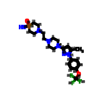 Cc1cc(N2CCN(CCN3CCS(=N)(=O)CC3)CC2)nn1-c1ccc(OC(F)(F)F)cc1